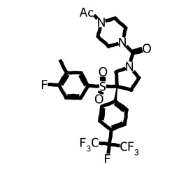 CC(=O)N1CCN(C(=O)N2CC[C@](c3ccc(C(F)(C(F)(F)F)C(F)(F)F)cc3)(S(=O)(=O)c3ccc(F)c(C)c3)C2)CC1